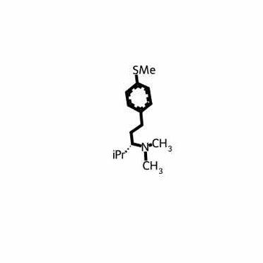 CSc1ccc(CC[C@@H](C(C)C)N(C)C)cc1